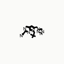 CC(C)(C)Cn1c(Cn2cnnn2)cc2cnc(C#N)nc21